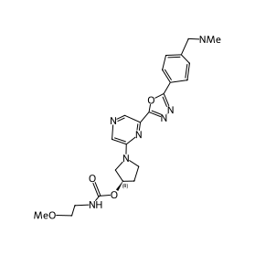 CNCc1ccc(-c2nnc(-c3cncc(N4CC[C@@H](OC(=O)NCCOC)C4)n3)o2)cc1